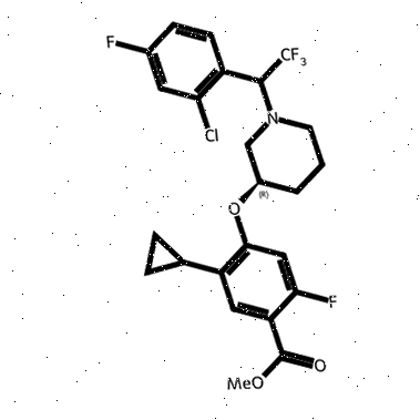 COC(=O)c1cc(C2CC2)c(O[C@@H]2CCCN(C(c3ccc(F)cc3Cl)C(F)(F)F)C2)cc1F